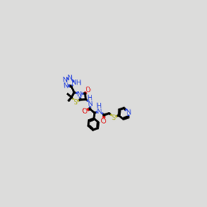 CC1(C)SC2C(NC(=O)C(NC(=O)CSc3ccncc3)c3ccccc3)C(=O)N2C1c1nnn[nH]1